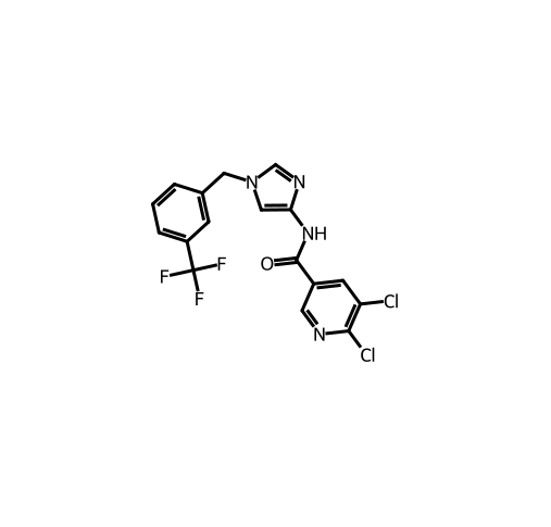 O=C(Nc1cn(Cc2cccc(C(F)(F)F)c2)cn1)c1cnc(Cl)c(Cl)c1